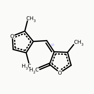 C=c1occ(C)/c1=C/c1c(C)coc1C